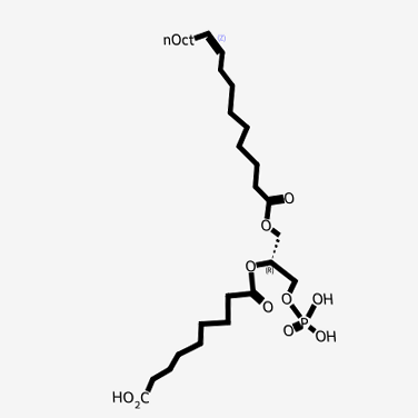 CCCCCCCC/C=C\CCCCCCCC(=O)OC[C@H](COP(=O)(O)O)OC(=O)CCCCCCCC(=O)O